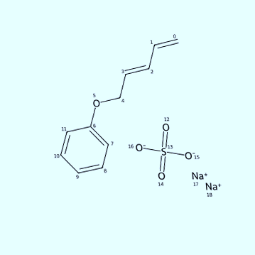 C=CC=CCOc1ccccc1.O=S(=O)([O-])[O-].[Na+].[Na+]